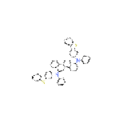 c1ccc(N(c2ccc3c(c2)sc2ccccc23)c2cc3c4cccc(N(c5ccccc5)c5ccc6c(c5)sc5ccccc56)c4ccc3c3ccccc23)cc1